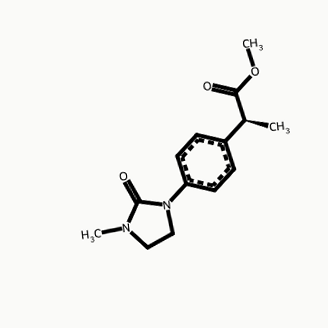 COC(=O)[C@@H](C)c1ccc(N2CCN(C)C2=O)cc1